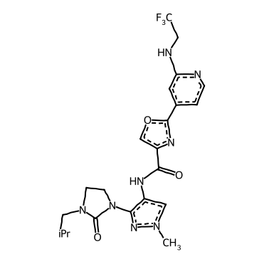 CC(C)CN1CCN(c2nn(C)cc2NC(=O)c2coc(-c3ccnc(NCC(F)(F)F)c3)n2)C1=O